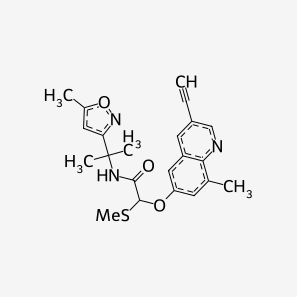 C#Cc1cnc2c(C)cc(OC(SC)C(=O)NC(C)(C)c3cc(C)on3)cc2c1